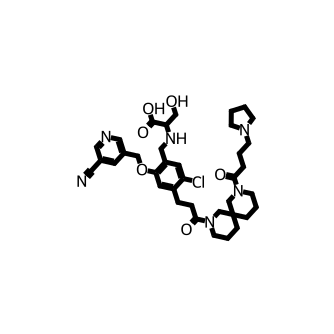 N#Cc1cncc(COc2cc(CCC(=O)N3CCCC4(CCCN(C(=O)CCCN5CCCC5)C4)C3)c(Cl)cc2CNC(CO)C(=O)O)c1